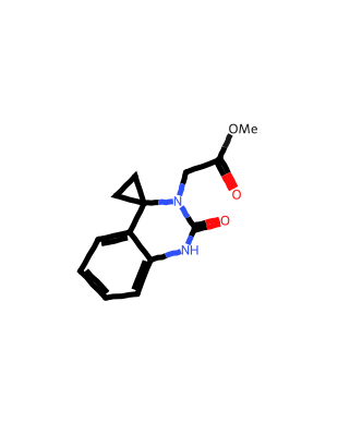 COC(=O)CN1C(=O)Nc2ccccc2C12CC2